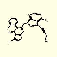 Cc1csc2nc(Cn3nc(C#CCO)c4c(N)ncnc43)n(-c3ccccc3F)c(=O)c12